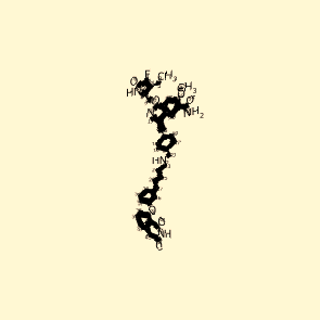 CC[C@@H]1[C@H](F)C(=O)N[C@@H]1COc1ncc(C#C[C@H]2CC[C@H](CNCCCCCc3cccc(Oc4cccc5c4C(=O)NC(=O)C5)c3)CC2)c2cc(C(N)=O)c(OC)cc12